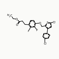 CCOC(=O)CCc1ccc(OCc2sc(Cl)cc2-c2ccc(Cl)cc2)c(F)c1F